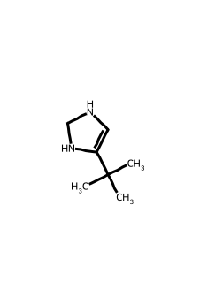 CC(C)(C)C1=CNCN1